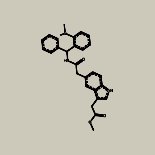 COC(=O)Cc1c[nH]c2ccc(CC(=O)NC(c3ccccc3)c3ccccc3N(C)C)cc12